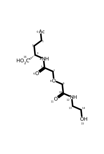 CC(=O)CC[C@H](NC(=O)COCC(=O)NCCO)C(=O)O